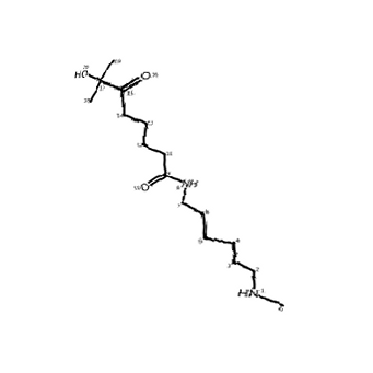 CNCCCCCCNC(=O)CCCCC(=O)C(C)(C)O